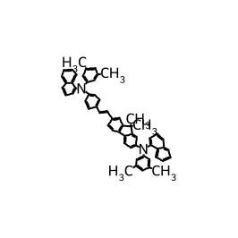 Cc1cc(C)cc(N(c2ccc(/C=C/c3ccc4c(c3)C(C)(C)c3cc(N(c5cc(C)cc(C)c5)c5cccc6ccccc56)ccc3-4)cc2)c2cccc3ccccc23)c1